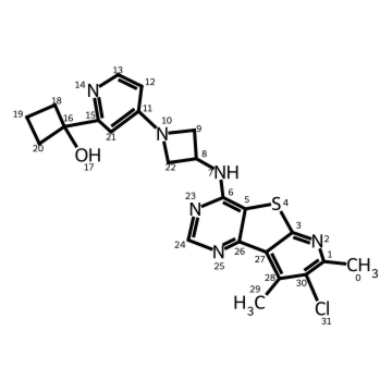 Cc1nc2sc3c(NC4CN(c5ccnc(C6(O)CCC6)c5)C4)ncnc3c2c(C)c1Cl